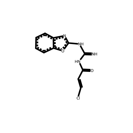 N=C(NC(=O)/C=C/Cl)Nc1nc2ccccc2o1